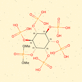 COP(=O)(OC)O[C@@H]1[C@@H](OP(=O)(O)O)[C@H](OP(=O)(O)O)[C@@H](OP(=O)(O)O)[C@H](OP(=O)(O)O)[C@@H]1OP(=O)(O)O